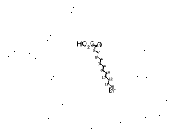 O=C(O)C(=O)CCCCCCCCCCCCBr